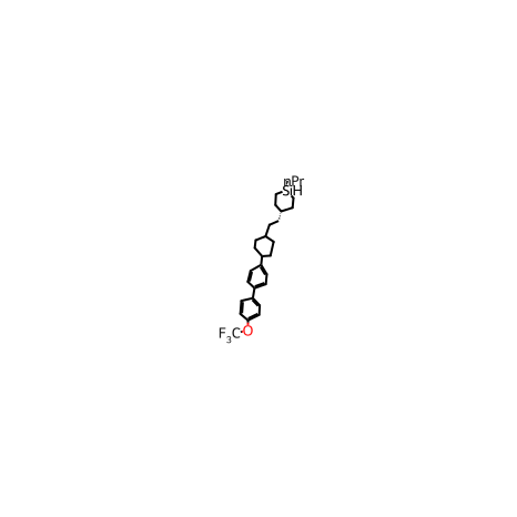 CCC[Si@H]1CC[C@H](CCC2CCC(c3ccc(-c4ccc(OC(F)(F)F)cc4)cc3)CC2)CC1